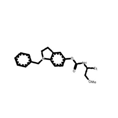 CCC(COC)NC(=O)Oc1ccc2c(c1)CCN2Cc1ccccc1